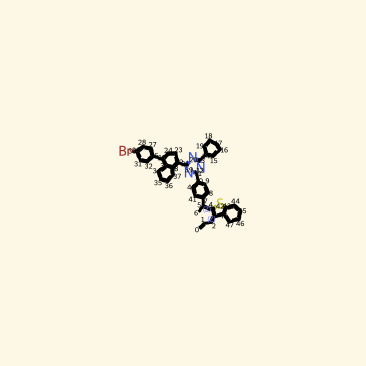 C=C/C=c1\c(=C(/C)c2ccc(-c3nc(-c4ccccc4)nc(-c4ccc(-c5ccc(Br)cc5)c5ccccc45)n3)cc2)sc2ccccc12